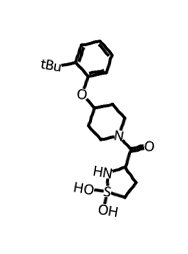 CC(C)(C)c1ccccc1OC1CCN(C(=O)C2CCS(O)(O)N2)CC1